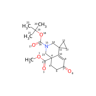 COC(=O)C12CCC(=O)C=C1C1(CC1)CN(C(=O)OC(C)(C)C)C2